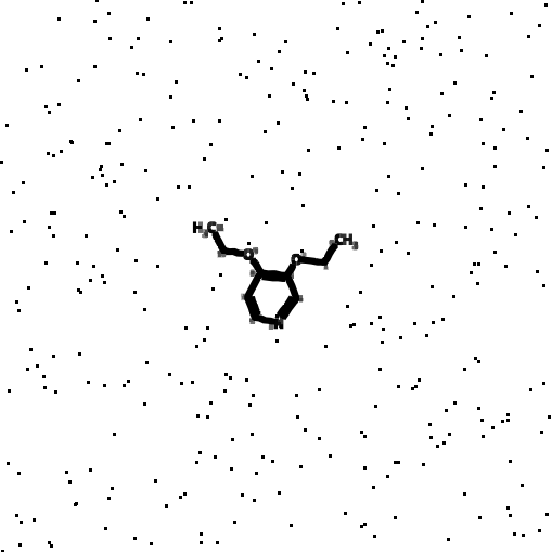 CCOc1[c]nccc1OCC